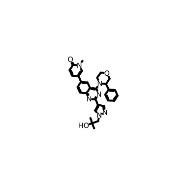 Cn1cc(-c2ccc3nc(-c4cnn(CC(C)(C)O)c4)nc(N4CCOCC4c4ccccc4)c3c2)ccc1=O